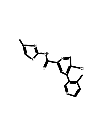 Cc1csc(NC(=O)c2cc(-c3cnccc3C)c(Cl)cn2)n1